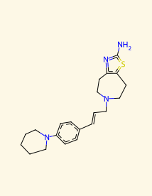 Nc1nc2c(s1)CCN(CC=Cc1ccc(N3CCCCC3)cc1)CC2